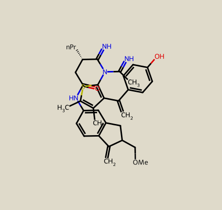 C=C(c1ccc(O)cc1)c1c(N(C(C)=N)C(=N)[C@@H](CCC)CC(=O)Nc2ccc3c(c2)CC(COC)C3=C)sc(C)c1C